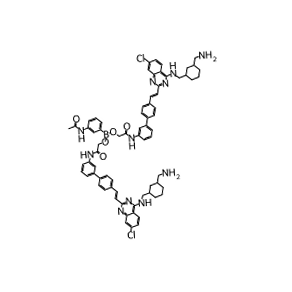 CC(=O)Nc1cccc(B(OCC(=O)Nc2cccc(-c3ccc(C=Cc4nc(NCC5CCCC(CN)C5)c5ccc(Cl)cc5n4)cc3)c2)OCC(=O)Nc2cccc(-c3ccc(C=Cc4nc(NCC5CCCC(CN)C5)c5ccc(Cl)cc5n4)cc3)c2)c1